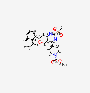 Cc1cccc2cccc(C3Cc4nc(S(C)(=O)=O)nc(C5CCN(C(=O)OC(C)(C)C)CC5)c4CO3)c12